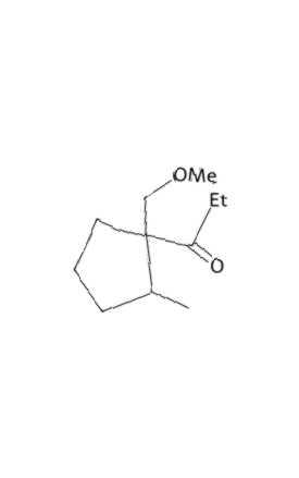 CCC(=O)C1(COC)CCCC1C